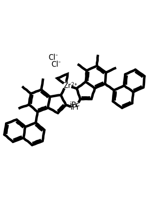 Cc1c(C)c(-c2cccc3ccccc23)c2c(c1C)[CH]([Zr+2]1([CH]3C(C(C)C)=Cc4c(-c5cccc6ccccc56)c(C)c(C)c(C)c43)[CH2][CH2]1)C(C(C)C)=C2.[Cl-].[Cl-]